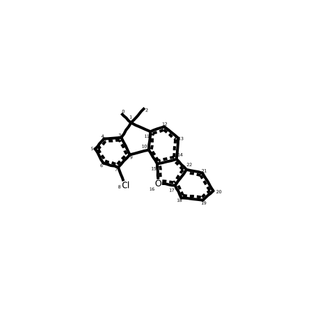 CC1(C)c2cccc(Cl)c2-c2c1ccc1c2oc2ccccc21